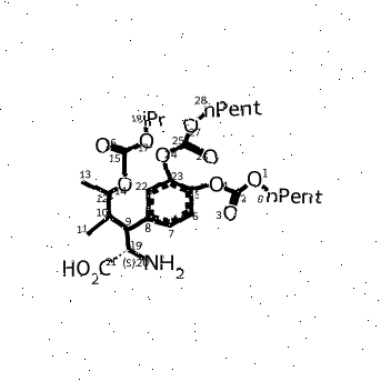 CCCCCOC(=O)Oc1ccc(C(C(C)C(C)OC(=O)OC(C)C)[C@H](N)C(=O)O)cc1OC(=O)OCCCCC